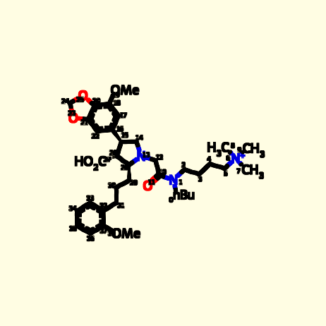 CCCCN(CCCC[N+](C)(C)C)C(=O)CN1C[C@H](c2cc(OC)c3c(c2)OCO3)[C@@H](C(=O)O)[C@@H]1CCCc1ccccc1OC